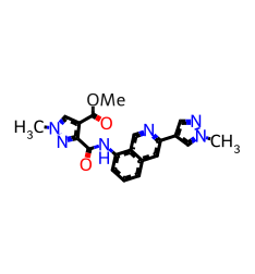 COC(=O)c1cn(C)nc1C(=O)Nc1cccc2cc(-c3cnn(C)c3)ncc12